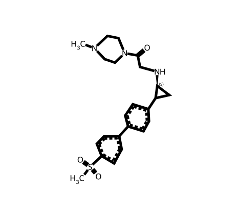 CN1CCN(C(=O)CN[C@H]2CC2c2ccc(-c3ccc(S(C)(=O)=O)cc3)cc2)CC1